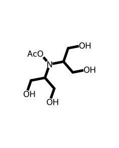 CC(=O)ON(C(CO)CO)C(CO)CO